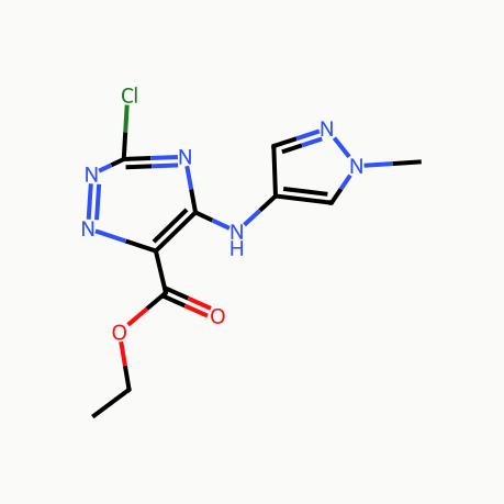 CCOC(=O)c1nnc(Cl)nc1Nc1cnn(C)c1